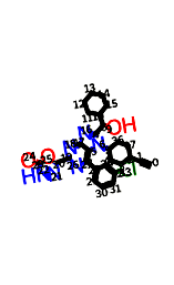 C#CC1CCC(n2c(C(O)C3CCCCC3)nc3nc(-c4n[nH]c(=O)o4)nc(-c4cccc(Cl)c4)c32)CC1